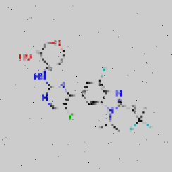 CC(C)n1c([C@@H]2CC2(F)F)nc2c(F)cc(-c3nc(N[C@@H]4CCOC[C@H]4O)ncc3Cl)cc21